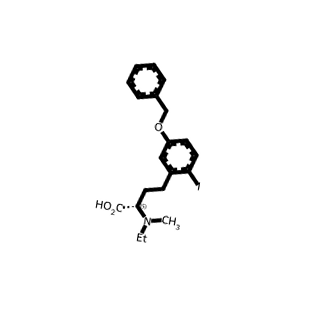 CCN(C)[C@@H](CCc1cc(OCc2ccccc2)ccc1I)C(=O)O